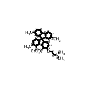 CCOC(=O)c1cc(C2(c3ccc(C)c(C)c3)c3cc(C)ccc3-c3ccc(C)cc32)ccc1OCCN(C)C